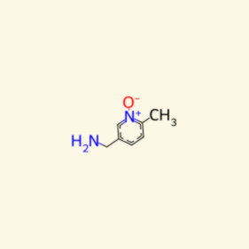 Cc1ccc(CN)c[n+]1[O-]